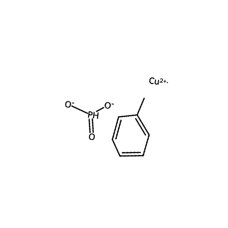 Cc1ccccc1.O=[PH]([O-])[O-].[Cu+2]